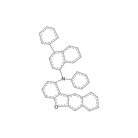 c1ccc(-c2ccc(N(c3ccccc3)c3cccc4oc5cc6ccccc6cc5c34)c3ccccc23)cc1